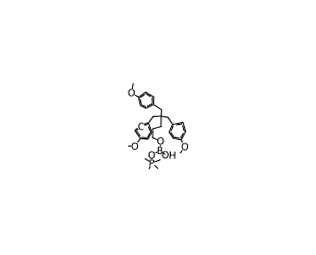 COc1ccc(CC(CCCOB(O)OP(C)(C)(C)C)(Cc2ccc(OC)cc2)Cc2ccc(OC)cc2)cc1